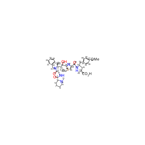 CC[C@H](C)[C@H](NC(=O)[C@H]1CCCCN1C)C(=O)N(Cc1ccccc1)[C@H](C[C@@H](O)c1nc(C(=O)N[C@@H](Cc2ccc(OC)cc2)C[C@H](C)C(=O)O)cs1)C(C)C